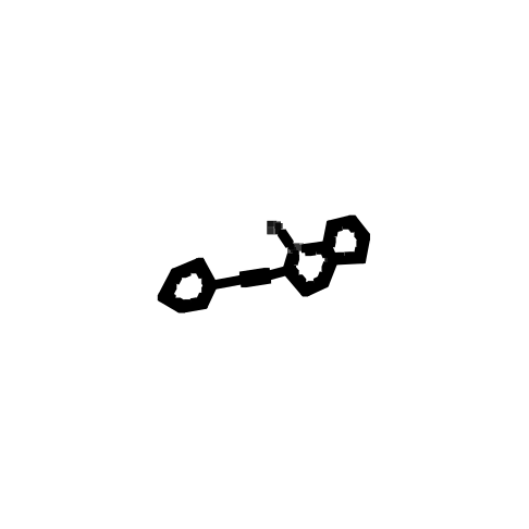 CC[n+]1c(C#Cc2ccccc2)ccc2ccccc21